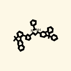 CC1(C)c2cc3ccccc3cc2-c2c(-c3cccc(C4=CC(c5ccc6c(c5)-c5ccccc5C6(C)c5ccccc5)NC(c5ccccc5)=N4)c3)cccc21